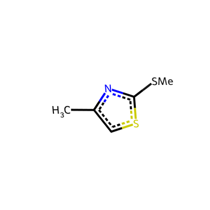 [CH2]Sc1nc(C)cs1